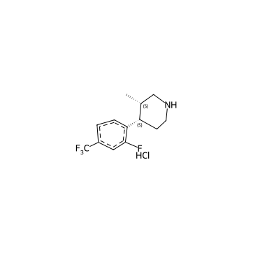 C[C@@H]1CNCC[C@@H]1c1ccc(C(F)(F)F)cc1F.Cl